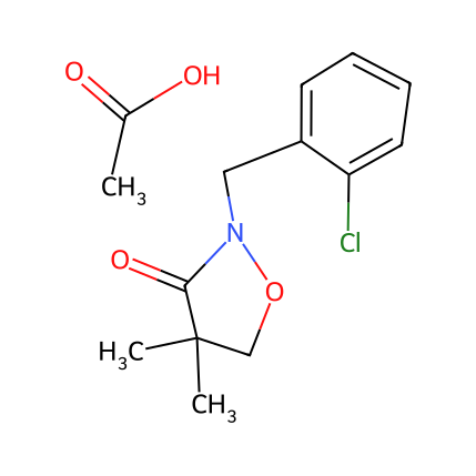 CC(=O)O.CC1(C)CON(Cc2ccccc2Cl)C1=O